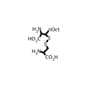 CCCCCCCCC(SSCC(N)C(=O)O)C(N)C(=O)O